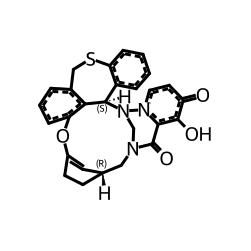 O=C1c2c(O)c(=O)ccn2N2CN1C[C@H]1C=C(CC1)Oc1cccc3c1[C@H]2c1ccccc1SC3